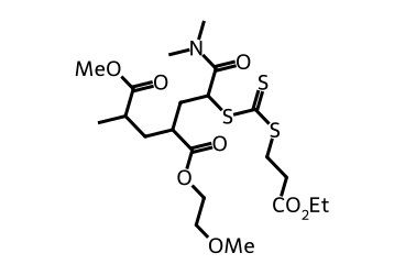 CCOC(=O)CCSC(=S)SC(CC(CC(C)C(=O)OC)C(=O)OCCOC)C(=O)N(C)C